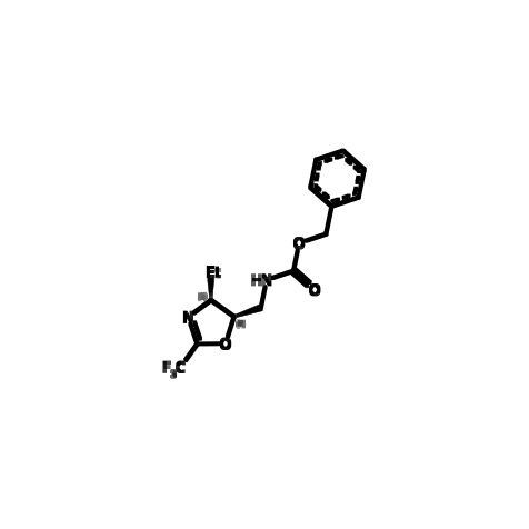 CC[C@@H]1N=C(C(F)(F)F)O[C@@H]1CNC(=O)OCc1ccccc1